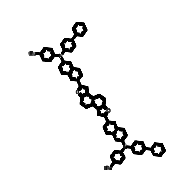 CC(C)(C)c1ccc(N(c2ccc(-c3ccccc3)cc2)c2ccc3cc(-c4cc5c(ccc6c7cc(-c8ccc9cc(N(c%10ccc(-c%11ccccc%11)cc%10)c%10ccc(C(C)(C)C)cc%10)ccc9c8)oc7ccc56)o4)ccc3c2)cc1